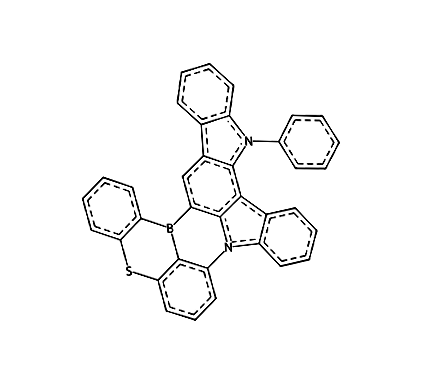 c1ccc(-n2c3ccccc3c3cc4c5c(c6ccccc6n5-c5cccc6c5B4c4ccccc4S6)c32)cc1